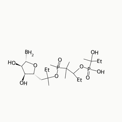 B[C@@H]1O[C@H](CC(C)(CC)OP(C)(=O)C(C)(C)C(CC)OP(=O)(O)C(C)(O)CC)[C@@H](O)[C@H]1O